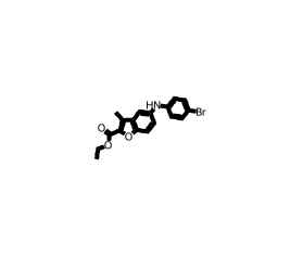 CCOC(=O)c1oc2ccc(Nc3ccc(Br)cc3)cc2c1C